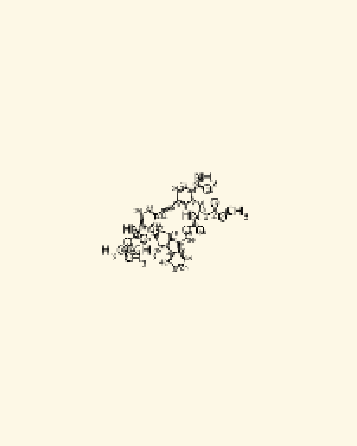 COC(=O)CC(Cc1cc(C#Cc2ccc(NC(=O)OC(C)(C)C)cc2)ccc1C(N)=O)NC(=O)OCC1c2ccccc2-c2ccccc21